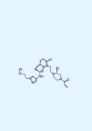 C=CC(=O)N1CCN(CCn2c(=O)ccc3cnc(Nc4cnn(CCOC(C)C)c4)nc32)[C@@H](CC)C1